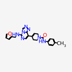 Cc1ccc(NC(=O)N2CC=C(c3cnc(NCc4ccco4)n4cnnc34)CC2)cc1